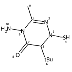 CC1=NN(S)C(C(C)(C)C)C(=O)N1N